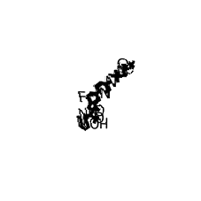 CC(C)(C)OC(=O)N1CC2(C1)CN(c1ccc(-c3cc(F)c4c(c3)C(=O)N(C(C(=O)O)c3ncn5c3CCC5)C4)nc1)C2